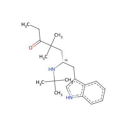 CCC(=O)C(C)(C)C[C@H](Cc1c[nH]c2ccccc12)NC(C)(C)C